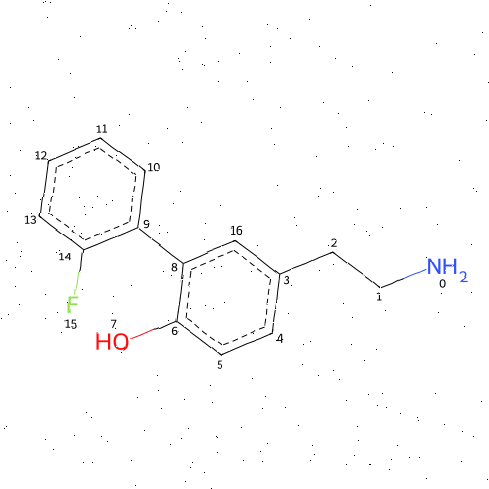 NCCc1ccc(O)c(-c2ccccc2F)c1